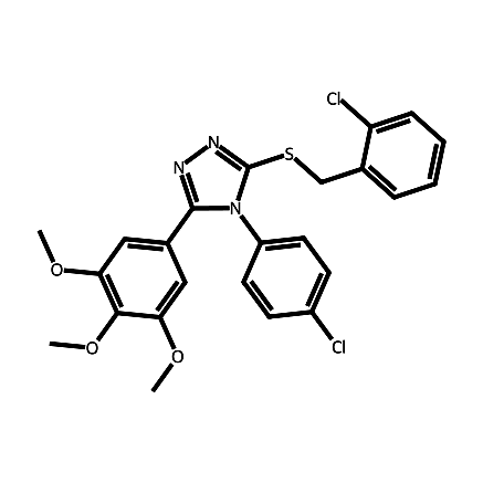 COc1cc(-c2nnc(SCc3ccccc3Cl)n2-c2ccc(Cl)cc2)cc(OC)c1OC